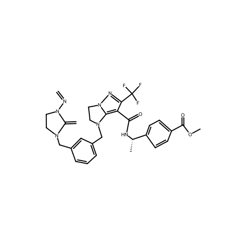 C=NN1CCN(Cc2cccc(CN3CCn4nc(C(F)(F)F)c(C(=O)N[C@@H](C)c5ccc(C(=O)OC)cc5)c43)c2)C1=C